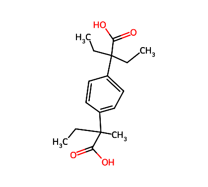 CCC(C)(C(=O)O)c1ccc(C(CC)(CC)C(=O)O)cc1